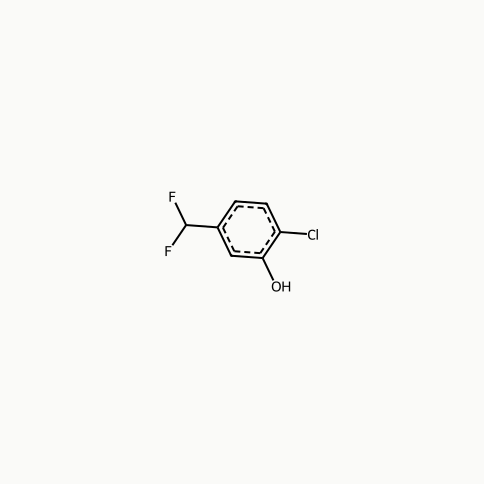 Oc1cc(C(F)F)ccc1Cl